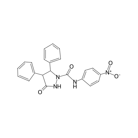 O=C1NN(C(=O)Nc2ccc([N+](=O)[O-])cc2)C(c2ccccc2)C1c1ccccc1